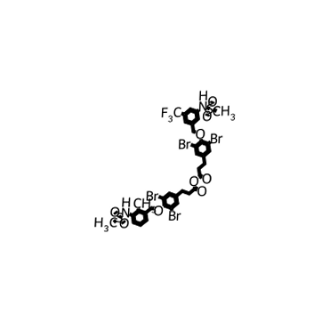 Cc1c(COc2c(Br)cc(CCC(=O)OC(=O)CCc3cc(Br)c(OCc4cc(NS(C)(=O)=O)cc(C(F)(F)F)c4)c(Br)c3)cc2Br)cccc1NS(C)(=O)=O